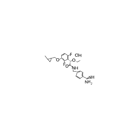 CCOC(C(=O)NCc1ccc(C(=N)N)cc1)c1c(F)ccc(OCC2CC2C)c1F.Cl